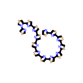 [c]1csc(-c2csc(-c3csc(-c4csc(-c5csc(-c6csc(-c7csc(-c8csc(-c9csc(-c%10csc(-c%11csc(-c%12csc(C%13=CSCN%13c%13cscn%13)n%12)n%11)n%10)n9)n8)n7)n6)n5)n4)n3)n2)n1